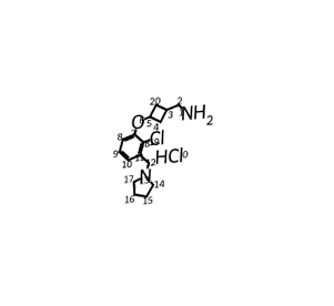 Cl.NCC1CC(Oc2cccc(CN3CCCC3)c2Cl)C1